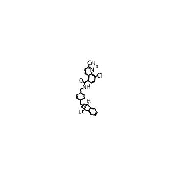 Cc1ccc2c(C(=O)NCC3CCC(CN4[C@H]5CC[C@H]4c4ccccc45)CC3)ccc(Cl)c2n1